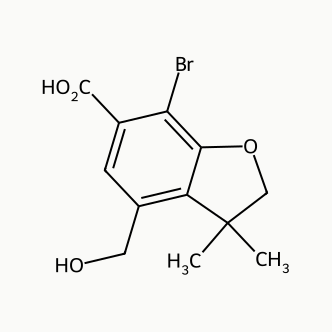 CC1(C)COc2c(Br)c(C(=O)O)cc(CO)c21